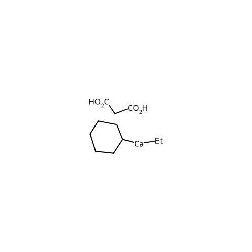 C[CH2][Ca][CH]1CCCCC1.O=C(O)CC(=O)O